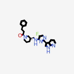 O=C(CCc1ccccc1)N1CCC[C@H](CNc2nc(-c3c[nH]c4ncccc34)ncc2F)C1